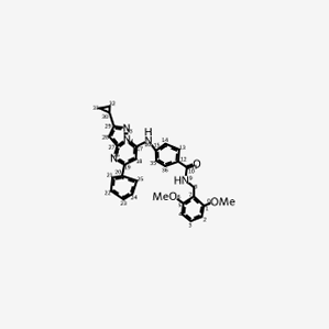 COc1cccc(OC)c1CNC(=O)c1ccc(Nc2cc(-c3ccccc3)nc3cc(C4CC4)nn23)cc1